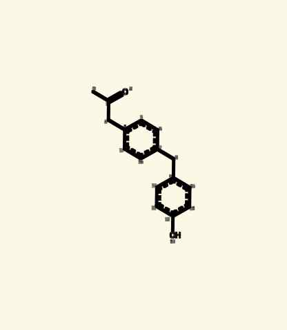 CC(=O)Cc1ccc(Cc2ccc(O)cc2)cc1